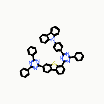 c1ccc(-c2nc(-c3ccccc3)nc(-c3ccc4c(c3)sc3c(-c5nc(-c6ccccc6)nc(-c6ccc(-n7c8ccccc8c8ccccc87)cc6)n5)cccc34)n2)cc1